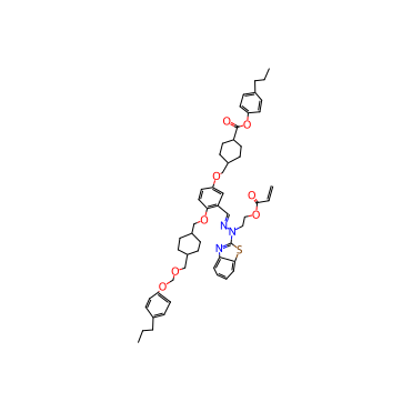 C=CC(=O)OCCN(/N=C/c1cc(OCC2CCC(C(=O)Oc3ccc(CCC)cc3)CC2)ccc1OCC1CCC(COCOc2ccc(CCC)cc2)CC1)c1nc2ccccc2s1